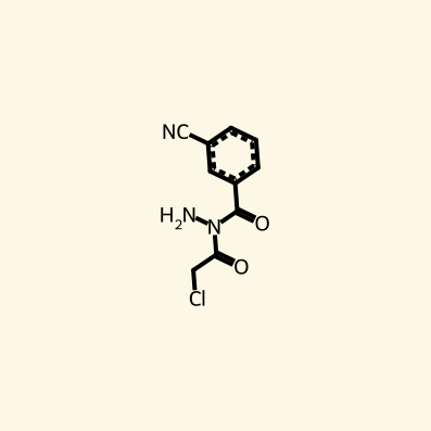 N#Cc1cccc(C(=O)N(N)C(=O)CCl)c1